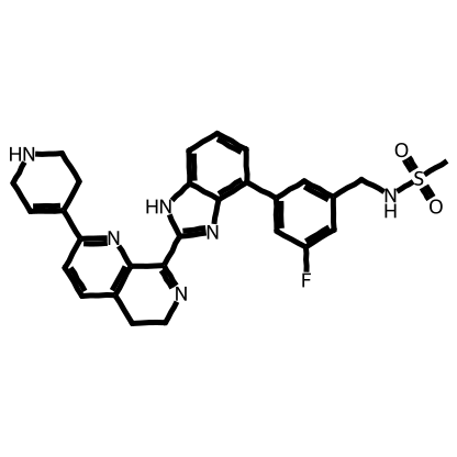 CS(=O)(=O)NCc1cc(F)cc(-c2cccc3[nH]c(C4=NCCc5ccc(C6=CCNCC6)nc54)nc23)c1